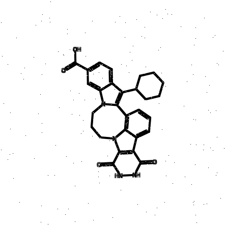 O=C(O)c1ccc2c(C3CCCCC3)c3n(c2c1)CCCn1c2c-3cccc2c2c(=O)[nH][nH]c(=O)c21